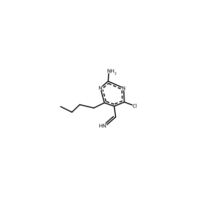 CCCCc1nc(N)nc(Cl)c1C=N